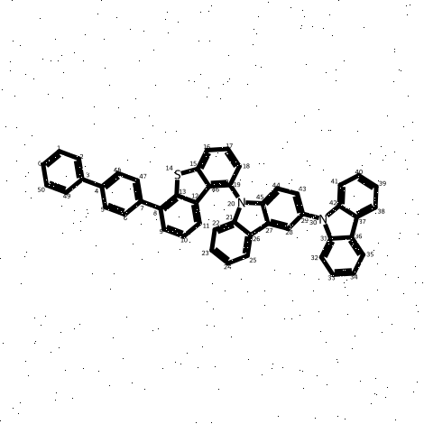 c1ccc(-c2ccc(-c3cccc4c3sc3cccc(-n5c6ccccc6c6cc(-n7c8ccccc8c8ccccc87)ccc65)c34)cc2)cc1